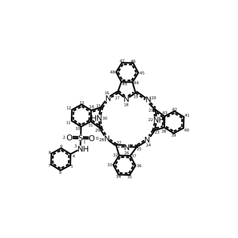 O=S(=O)(Nc1ccccc1)c1cccc2c3nc4nc(nc5[nH]c(nc6nc(nc([nH]3)c12)-c1ccccc1-6)c1ccccc51)-c1ccccc1-4